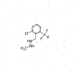 CNNCc1c(Cl)cccc1C(F)(F)F